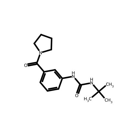 CC(C)(C)NC(=O)Nc1cccc(C(=O)N2CCCC2)c1